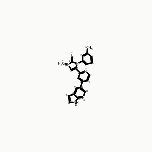 Cc1cccc(-n2c(-c3cc(-c4cnc5[nH]ccc5c4)ccn3)cn(C)c2=O)c1